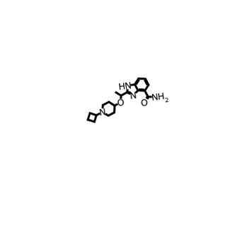 CC(OC1CCN(C2CCC2)CC1)c1nc2c(C(N)=O)cccc2[nH]1